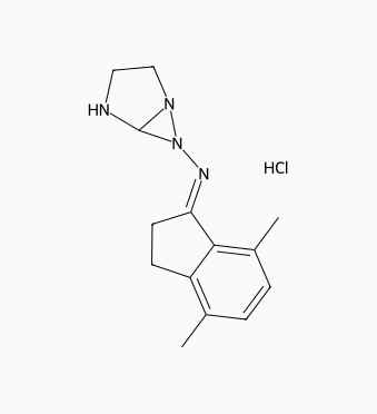 Cc1ccc(C)c2c1CCC2=NN1C2NCCN21.Cl